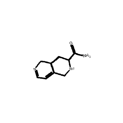 NC(=O)C1CC2CN=CC=C2CN1